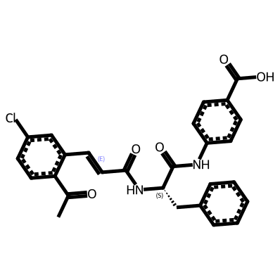 CC(=O)c1ccc(Cl)cc1/C=C/C(=O)N[C@@H](Cc1ccccc1)C(=O)Nc1ccc(C(=O)O)cc1